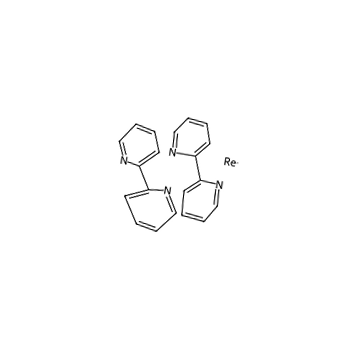 [Re].c1ccc(-c2ccccn2)nc1.c1ccc(-c2ccccn2)nc1